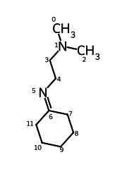 CN(C)CCN=C1CCCCC1